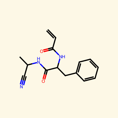 C=CC(=O)NC(Cc1ccccc1)C(=O)NC(C)C#N